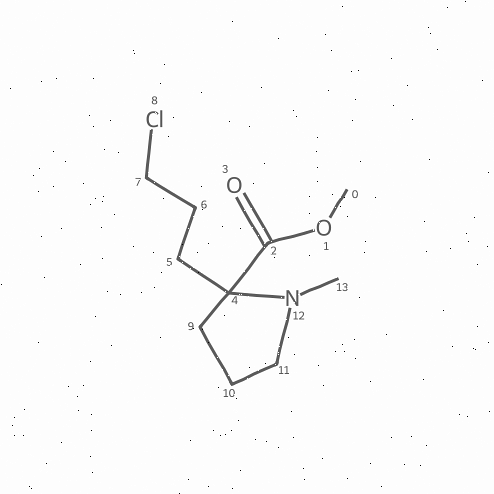 COC(=O)C1(CCCCl)CCCN1C